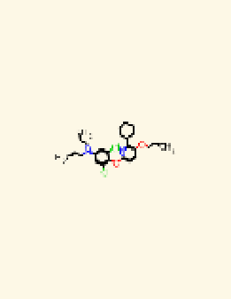 C=CCOc1ccc(Oc2c(Cl)cc(N(CC=C)CC=C)cc2Cl)nc1C1CCCCC1